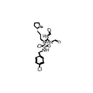 CN1CCC[C@H]1CCCN(C(NC=O)NC=O)S(=O)(=O)NCc1ccc(Cl)cc1